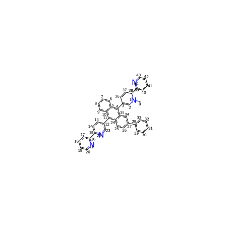 CN1C=C(c2c3ccccc3c(-c3ccc(-c4ccccn4)nc3)c3ccc(-c4ccccc4)cc23)C=C[C@H]1c1ccccn1